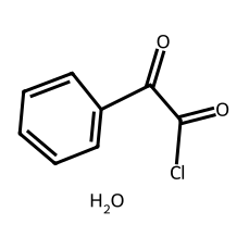 O.O=C(Cl)C(=O)c1ccccc1